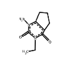 CCn1c(=O)c2c(n(N)c1=O)CCC2